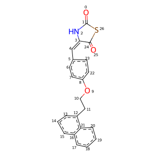 O=C1NC(=Cc2ccc(OCCc3cccc4ccccc34)cc2)C(=O)S1